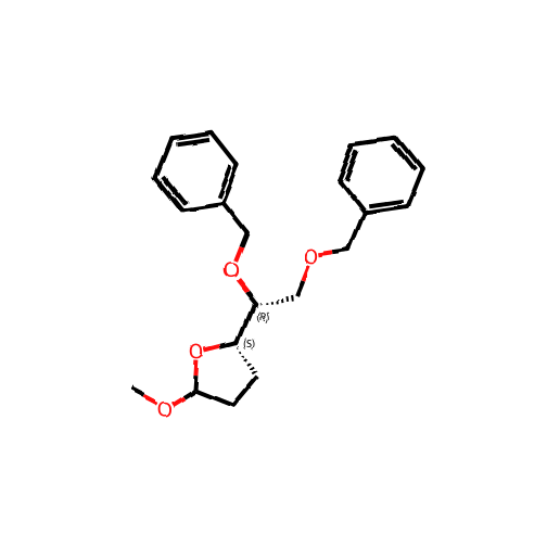 COC1CC[C@@H]([C@@H](COCc2ccccc2)OCc2ccccc2)O1